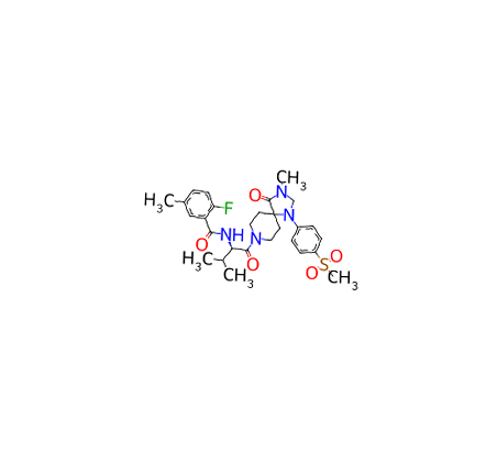 Cc1ccc(F)c(C(=O)N[C@@H](C(=O)N2CCC3(CC2)C(=O)N(C)CN3c2ccc(S(C)(=O)=O)cc2)C(C)C)c1